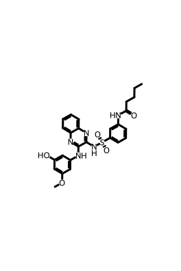 CCCCC(=O)Nc1cccc(S(=O)(=O)Nc2nc3ccccc3nc2Nc2cc(O)cc(OC)c2)c1